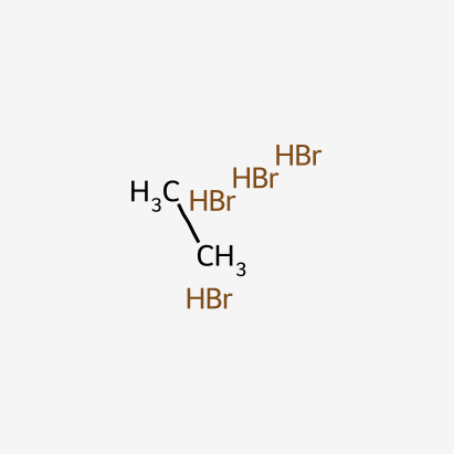 Br.Br.Br.Br.CC